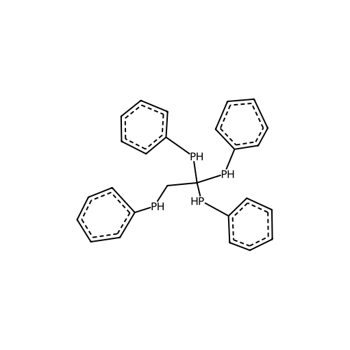 c1ccc(PCC(Pc2ccccc2)(Pc2ccccc2)Pc2ccccc2)cc1